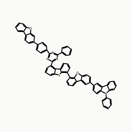 c1ccc(-c2nc(-c3ccc(-c4ccc5c(c4)oc4ccccc45)cc3)nc(-c3cccc4sc5c(-c6cccc7c6oc6ccc(-c8ccc9c(c8)c8ccccc8n9-c8ccccc8)cc67)cccc5c34)n2)cc1